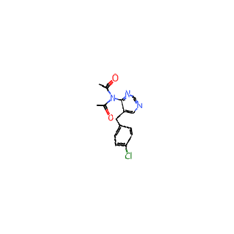 CC(=O)N(C(C)=O)c1ncncc1Cc1ccc(Cl)cc1